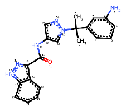 CC(C)(c1cccc(N)c1)n1cc(NC(=O)c2n[nH]c3ccccc23)cn1